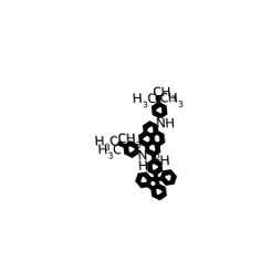 [2H]c1cc(C2(c3ccccc3)c3ccccc3-c3ccccc32)ccc1-c1cc2ccc3c(Nc4ccc(C(C)(C)C)cc4)ccc4ccc(c1Nc1ccc(C(C)(C)C)cc1)c2c43